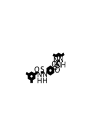 Cc1cc(C)cc(C(=O)NC(=S)Nc2ccc(S(=O)(=O)Nc3nc(C)cc(C)n3)cc2)c1